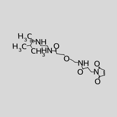 CC(C)[C@@H](C)NCCNC(=O)CCOCCNC(=O)CCN1C(=O)C=CC1=O